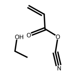 C=CC(=O)OC#N.CCO